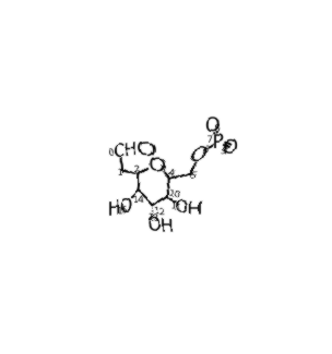 O=CC[C@H]1OC(COP(=O)=O)[C@@H](O)[C@H](O)C1O